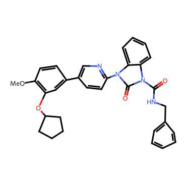 COc1ccc(-c2ccc(-n3c(=O)n(C(=O)NCc4ccccc4)c4ccccc43)nc2)cc1OC1CCCC1